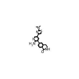 CN(C)c1nc(-c2cnc(N)c(-c3ccc4c(c3)CCNC4=O)c2)cs1